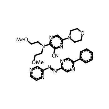 COCCN(CCOC)c1ncc(N2CCOCC2)nc1C#N.c1ccc(-c2cnc(N=Nc3cnccn3)cn2)cc1